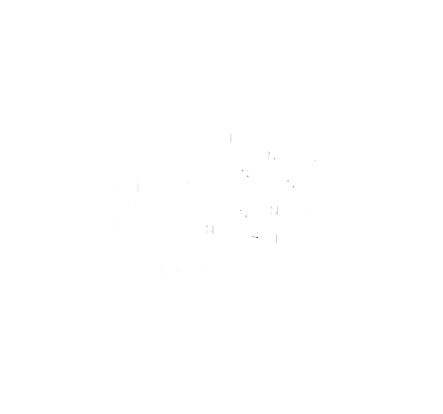 CC[C@@H]1CN(c2nc(Cl)nc3c2nc(C)n3C[C@@H]2CCCO2)[C@@H](C)CN1C(c1ccc(C(F)(F)F)c(F)c1)C(C)C